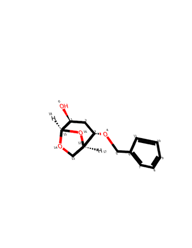 O[C@H]1C[C@H](OCc2ccccc2)[C@H]2CO[C@@H]1O2